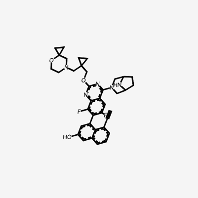 C#Cc1cccc2cc(O)cc(-c3c(F)cc4c(N5CC6CCC(C5)N6)nc(OCC5(CN6CCOC7(CC7)C6)CC5)nc4c3F)c12